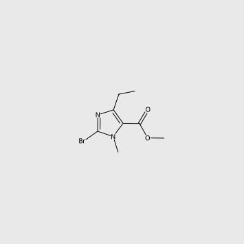 CCc1nc(Br)n(C)c1C(=O)OC